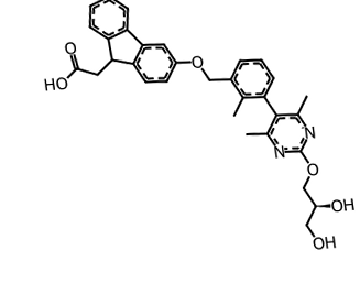 Cc1nc(OC[C@@H](O)CO)nc(C)c1-c1cccc(COc2ccc3c(c2)-c2ccccc2C3CC(=O)O)c1C